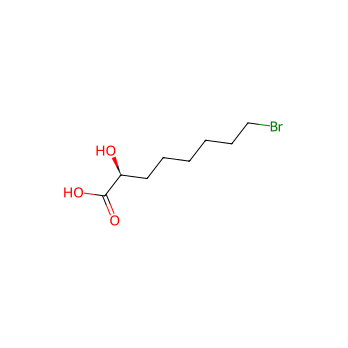 O=C(O)[C@@H](O)CCCCCCBr